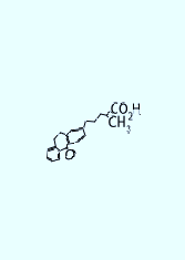 CC(CCCc1ccc2c(c1)CCc1ccccc1C2=O)C(=O)O